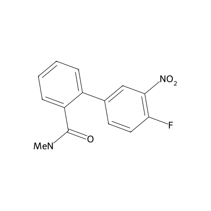 CNC(=O)c1ccccc1-c1ccc(F)c([N+](=O)[O-])c1